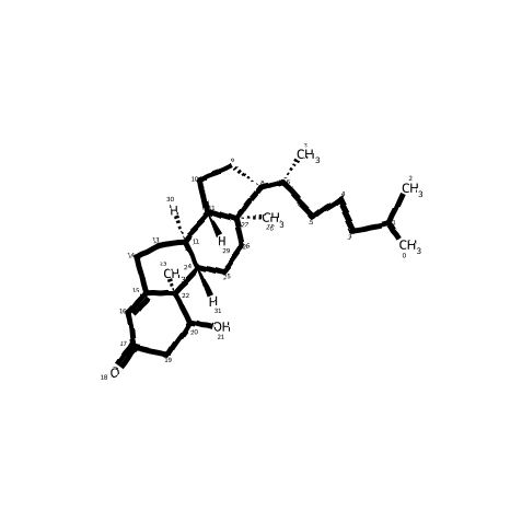 CC(C)CCC[C@@H](C)[C@H]1CC[C@H]2[C@@H]3CCC4=CC(=O)CC(O)[C@]4(C)[C@H]3CC[C@]12C